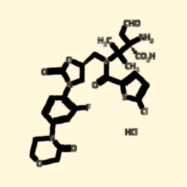 CC(C)(N(C[C@H]1CN(c2ccc(N3CCOCC3=O)cc2F)C(=O)O1)C(=O)c1ccc(Cl)s1)[C@](N)(CC=O)C(=O)O.Cl